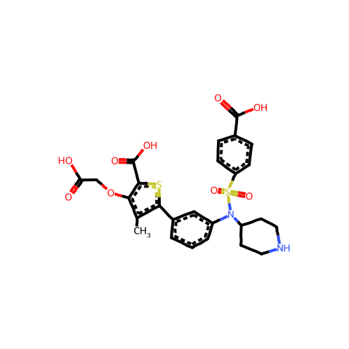 Cc1c(-c2cccc(N(C3CCNCC3)S(=O)(=O)c3ccc(C(=O)O)cc3)c2)sc(C(=O)O)c1OCC(=O)O